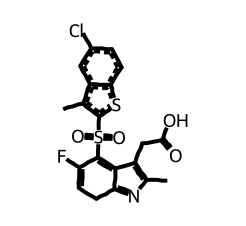 CC1=C(CC(=O)O)C2=C(S(=O)(=O)c3sc4ccc(Cl)cc4c3C)C(F)=CCC2=N1